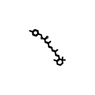 CC1=C(/C=C/C(C)=C/C=C/C(C)=C/C(=O)OCc2ccc(C)cc2)C(C)(C)CCC1